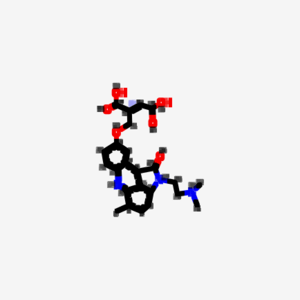 Cc1ccc2c3c(c4cc(OC/C(=C\C(=O)O)C(=O)O)ccc4nc13)C(=O)N2CCN(C)C